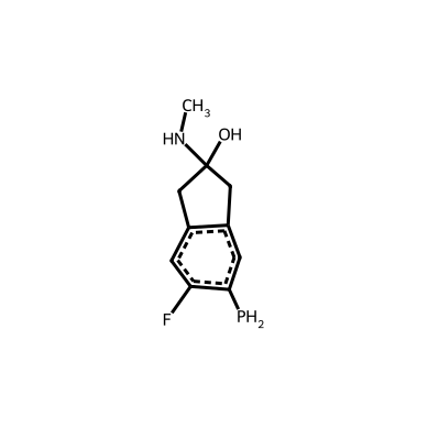 CNC1(O)Cc2cc(F)c(P)cc2C1